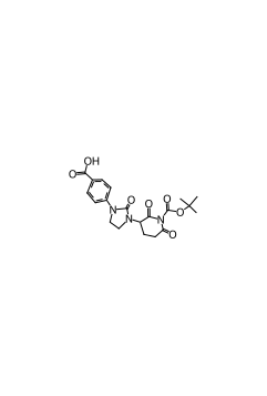 CC(C)(C)OC(=O)N1C(=O)CCC(N2CCN(c3ccc(C(=O)O)cc3)C2=O)C1=O